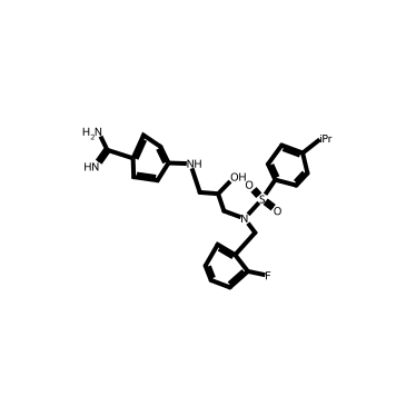 CC(C)c1ccc(S(=O)(=O)N(Cc2ccccc2F)CC(O)CNc2ccc(C(=N)N)cc2)cc1